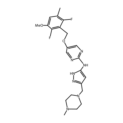 COc1cc(C)c(F)c(COc2cnc(Nc3cc(CN4CCN(C)CC4)n[nH]3)nc2)c1F